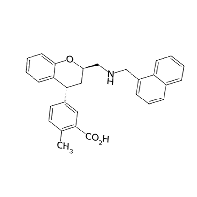 Cc1ccc([C@H]2C[C@H](CNCc3cccc4ccccc34)Oc3ccccc32)cc1C(=O)O